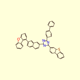 C1=CC2c3ccccc3SC2C=C1c1nc(-c2ccc(-c3ccccc3)cc2)nc(-c2ccc3ccc(-c4cccc5oc6ccccc6c45)cc3c2)n1